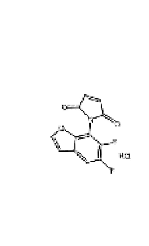 Cl.O=C1C=CC(=O)N1c1c(F)c(F)cc2ccoc12